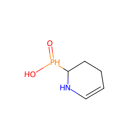 O=[PH](O)C1CCC=CN1